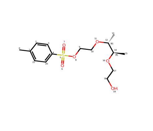 Cc1ccc(S(=O)(=O)OCCO[C@H](C)[C@@H](C)OCCO)cc1